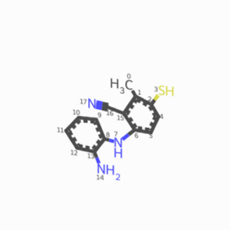 Cc1c(S)ccc(Nc2ccccc2N)c1C#N